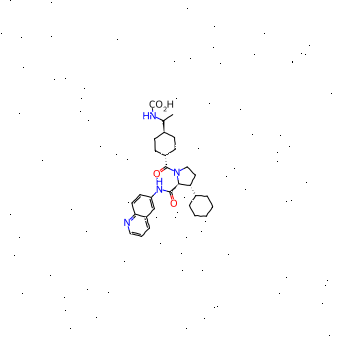 CC(NC(=O)O)[C@H]1CC[C@H](C(=O)N2CC[C@H](C3CCCCC3)[C@H]2C(=O)Nc2ccc3ncccc3c2)CC1